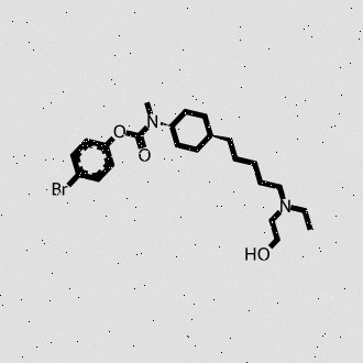 CCN(CCO)CCCCC[C@H]1CC[C@H](N(C)C(=O)Oc2ccc(Br)cc2)CC1